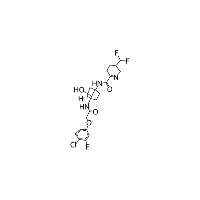 O=C(COc1ccc(Cl)c(F)c1)NC12CCC(NC(=O)C3=NCC(C(F)F)CC3)(CC1)C[C@@H]2O